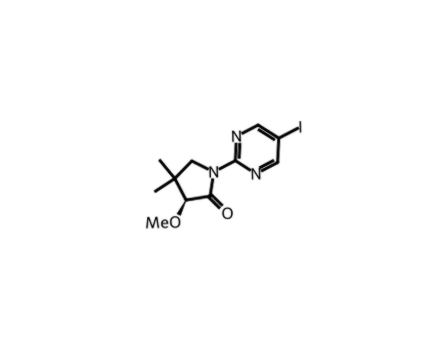 CO[C@@H]1C(=O)N(c2ncc(I)cn2)CC1(C)C